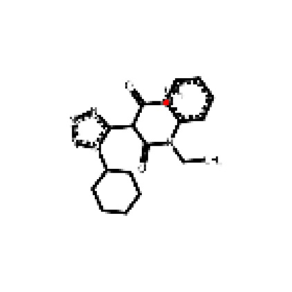 CCN(C(=O)C(C(=O)OC)c1nnnn1C1CCCCC1)c1ccccc1